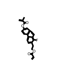 C=CC(=O)OCCc1ccc2c(ccc3cc(OC(=O)C(=C)C)ccc32)c1F